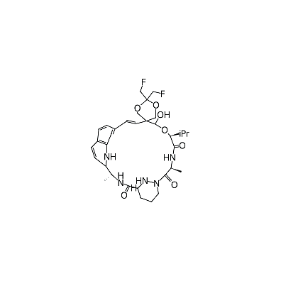 CC(C)[C@@H]1OC(O)C2(/C=C/c3ccc4c(c3)NC(C=C4)[C@@H](C)NC(=O)[C@@H]3CCCN(N3)C(=O)[C@H](C)NC1=O)COC(CF)(CF)OC2